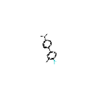 Cc1cc(-c2ccc(C(C)C)cc2)ccc1F